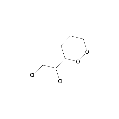 ClCC(Cl)C1CCCOO1